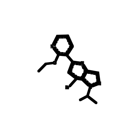 CCOc1ncccc1-c1cc(Br)c2c(cnn2C(C)C)n1